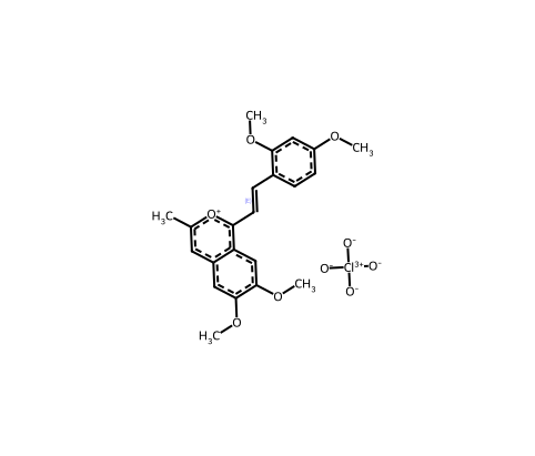 COc1ccc(/C=C/c2[o+]c(C)cc3cc(OC)c(OC)cc23)c(OC)c1.[O-][Cl+3]([O-])([O-])[O-]